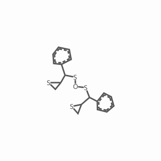 c1ccc(C(SOSC(c2ccccc2)C2CS2)C2CS2)cc1